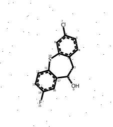 OC1Cc2ccc(Cl)cc2Sc2ccc(F)cc21